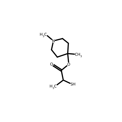 CC(S)C(=O)OC1(C)CCN(C)CC1